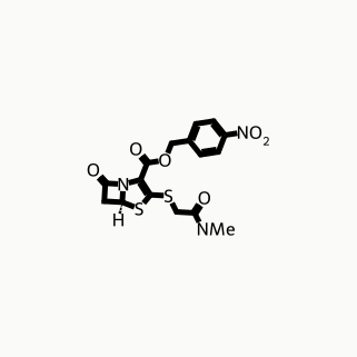 CNC(=O)CSC1=C(C(=O)OCc2ccc([N+](=O)[O-])cc2)N2C(=O)C[C@@H]2S1